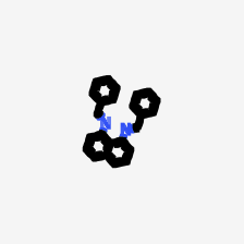 C(=N\c1cccc2cccc(/N=C/c3ccccc3)c12)/c1ccccc1